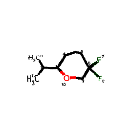 CC(C)C1CCC(F)(F)CO1